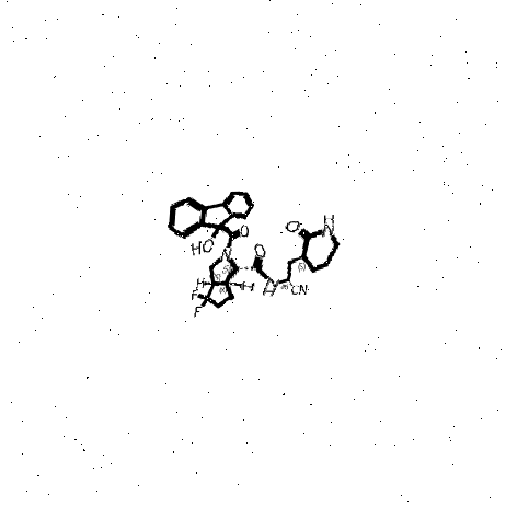 N#C[C@@H](C[C@@H]1CCCNC1=O)NC(=O)[C@@H]1[C@@H]2CCC(F)(F)[C@@H]2CN1C(=O)C1(O)c2ccccc2-c2ccccc21